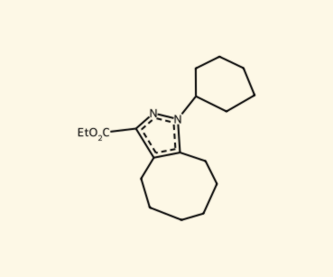 CCOC(=O)c1nn(C2CCCCC2)c2c1CCCCCC2